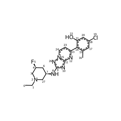 CCN1C[C@@H](F)C[C@@H](Nc2nc3nc(-c4c(C)cc(Cl)cc4O)ccn3n2)C1